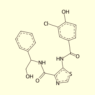 O=C(Nc1scnc1C(=O)NC(CO)c1ccccc1)c1ccc(O)c(Cl)c1